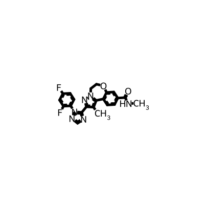 CNC(=O)c1ccc2c(c1)OCCn1nc(-c3ncnn3-c3ccc(F)cc3F)c(C)c1-2